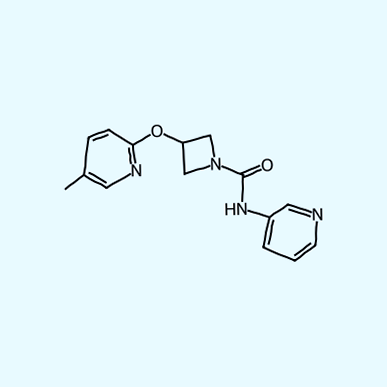 Cc1ccc(OC2CN(C(=O)Nc3cccnc3)C2)nc1